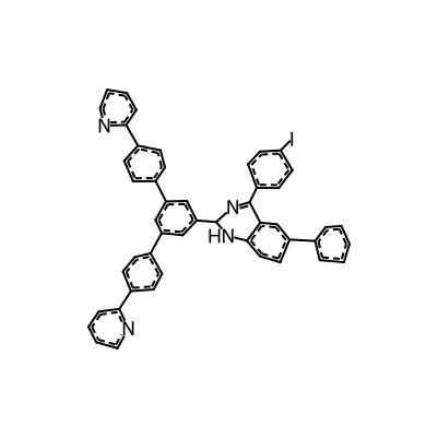 Ic1ccc(C2=NC(c3cc(-c4ccc(-c5ccccn5)cc4)cc(-c4ccc(-c5ccccn5)cc4)c3)Nc3ccc(-c4ccccc4)cc32)cc1